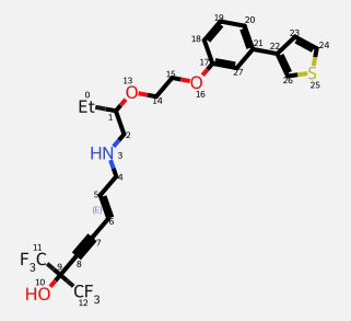 CCC(CNC/C=C/C#CC(O)(C(F)(F)F)C(F)(F)F)OCCOc1cccc(-c2ccsc2)c1